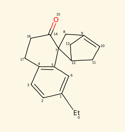 CCc1ccc2c(c1)C1(CC3=CCC1C3)C(=O)CC2